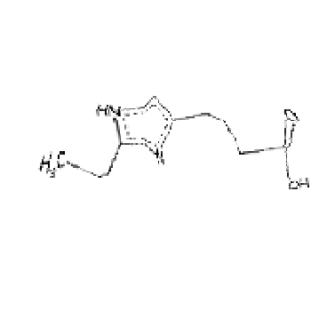 CCc1nc(CCC(=O)O)c[nH]1